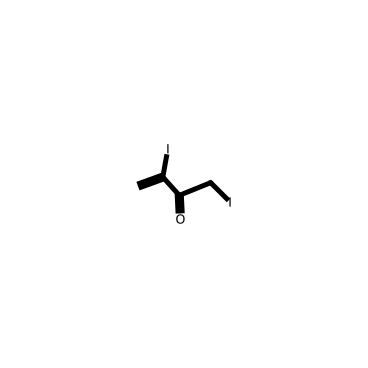 C=C(I)C(=O)CI